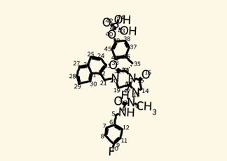 CN(C(=O)NCc1ccc(F)cc1)N1CC(=O)N2[C@H]1CN(Cc1cccc3ccccc13)C(=O)[C@@H]2Cc1ccc(OP(=O)(O)O)cc1